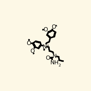 CCCN(CCC[N+](C)(CCc1ccc(OC)c(OC)c1)c1ccc(OC)c(OC)c1)C(N)=O